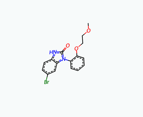 COCCOc1ccccc1-n1c(=O)[nH]c2ccc(Br)cc21